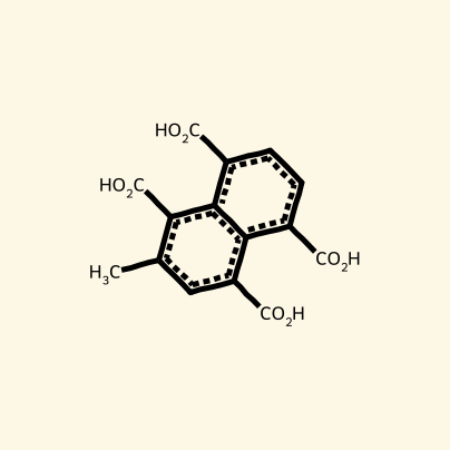 Cc1cc(C(=O)O)c2c(C(=O)O)ccc(C(=O)O)c2c1C(=O)O